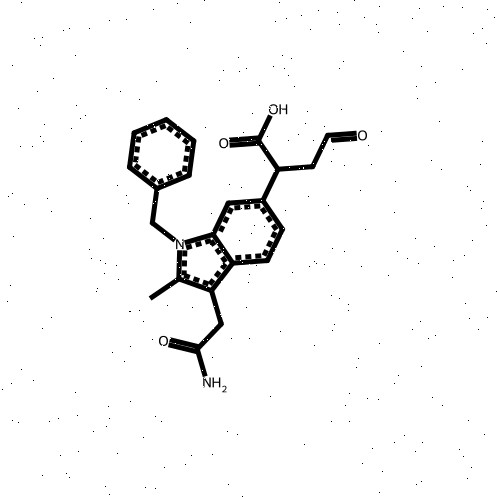 Cc1c(CC(N)=O)c2ccc(C(CC=O)C(=O)O)cc2n1Cc1ccccc1